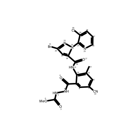 COC(=O)NNC(=O)c1cc(C#N)cc(C)c1NC(=O)c1cc(Br)nn1-c1ncccc1Cl